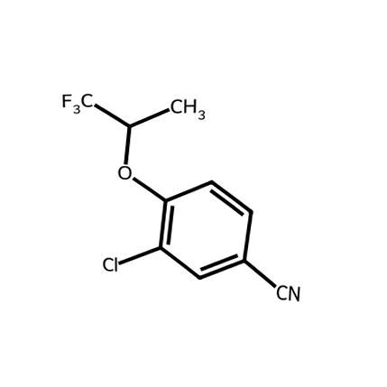 CC(Oc1ccc(C#N)cc1Cl)C(F)(F)F